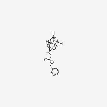 CC(CC(=O)OCc1ccccc1)B1O[C@@H]2C[C@@H]3C[C@@H](C3(C)C)[C@]2(C)O1